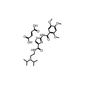 COc1cc(OC)c(C(=O)Nc2nc(C(=O)NCCN(C(C)C)C(C)C)cs2)cc1OC.O=C(O)C=CC(=O)O